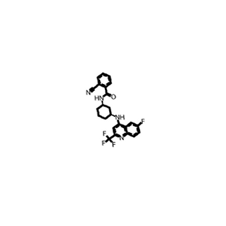 N#Cc1ccccc1C(=O)N[C@@H]1CCC[C@H](Nc2cc(C(F)(F)F)nc3ccc(F)cc23)C1